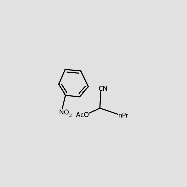 CCCC(C#N)OC(C)=O.O=[N+]([O-])c1ccccc1